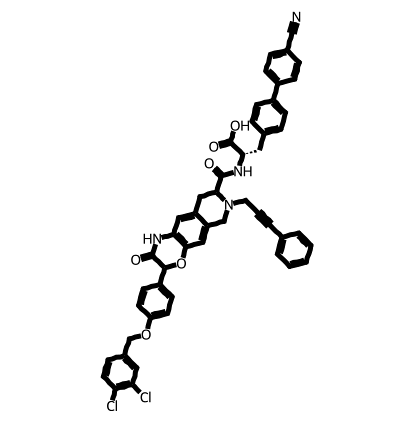 N#Cc1ccc(-c2ccc(C[C@H](NC(=O)C3Cc4cc5c(cc4CN3CC#Cc3ccccc3)OC(c3ccc(OCc4ccc(Cl)c(Cl)c4)cc3)C(=O)N5)C(=O)O)cc2)cc1